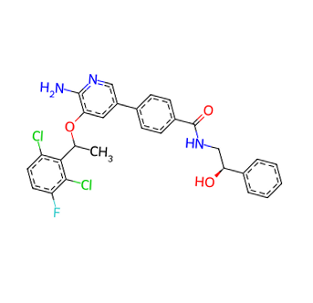 CC(Oc1cc(-c2ccc(C(=O)NC[C@H](O)c3ccccc3)cc2)cnc1N)c1c(Cl)ccc(F)c1Cl